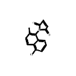 Cc1ccc2c(Cl)cccc2c1N1C(=O)C=CC1=O